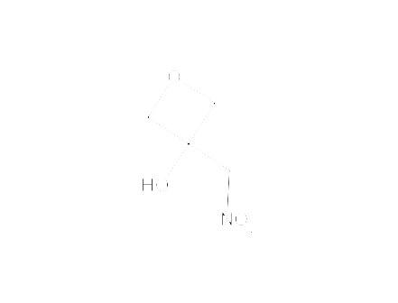 O=[N+]([O-])CC1(O)COC1